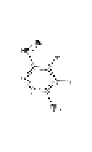 Cc1c(N)ccc(PC(C)(C)C)c1C